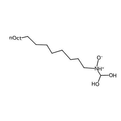 CCCCCCCCCCCCCCCC[NH+]([O-])C(O)O